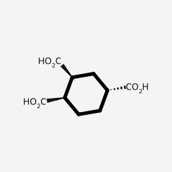 O=C(O)[C@@H]1CC[C@@H](C(=O)O)[C@@H](C(=O)O)C1